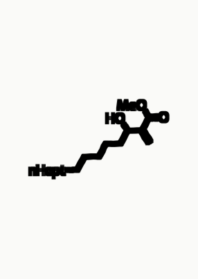 C=C(C(=O)OC)C(O)CCCCCCCCCCCC